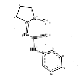 CN1CCCC1=NC(=S)Nc1ccccc1